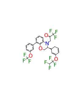 O=C(CN1c2cccc(-c3cccc(OC(F)(F)F)c3)c2OC[C@@H]1C1C=C(OC(F)(F)C(F)F)C=CC1)C(F)(F)F